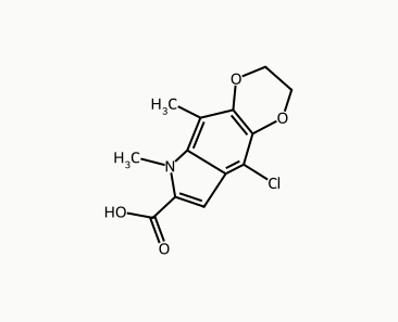 Cc1c2c(c(Cl)c3cc(C(=O)O)n(C)c13)OCCO2